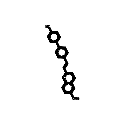 COc1ccc2nc(/C=C/c3ccc(-c4ccc(C#N)cc4)cc3)ccc2c1